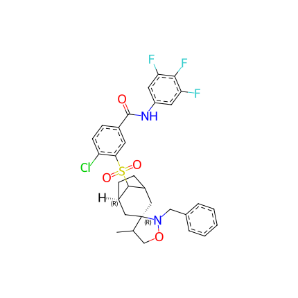 CC1CON(Cc2ccccc2)[C@@]12CC1CC[C@H](C2)C1S(=O)(=O)c1cc(C(=O)Nc2cc(F)c(F)c(F)c2)ccc1Cl